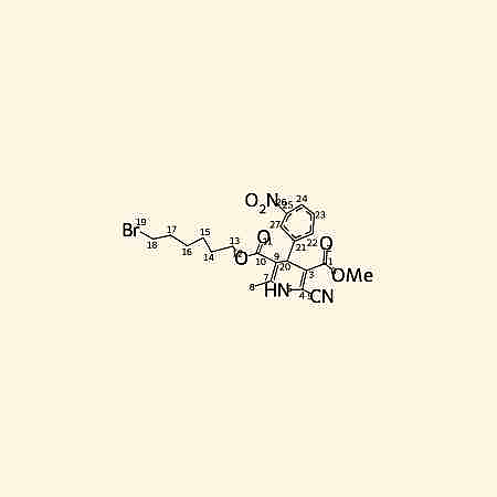 COC(=O)C1=C(C#N)NC(C)=C(C(=O)OCCCCCCBr)C1c1cccc([N+](=O)[O-])c1